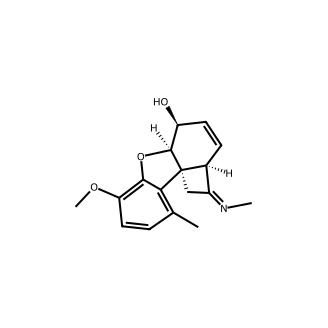 C/N=C1/C[C@]23c4c(C)ccc(OC)c4O[C@H]2[C@@H](O)C=C[C@@H]13